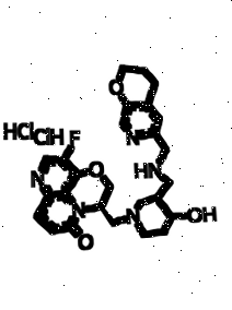 Cl.Cl.O=c1ccc2ncc(F)c3c2n1[C@H](CN1CCC(O)C(CNCc2cc4c(cn2)OCCC4)C1)CO3